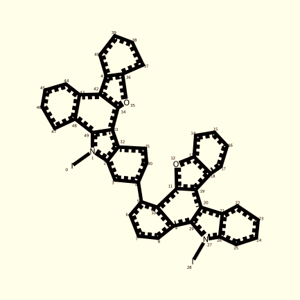 In1c2cc(-c3cccc4c3c3oc5ccccc5c3c3c5ccccc5n(I)c43)ccc2c2c3oc4ccccc4c3c3ccccc3c21